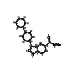 CNC(=O)c1ccc2noc(-c3ccc(-c4ccccc4)cc3)c2c1